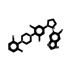 Fc1cc2[nH]cnc2cc1[C@H]1CCCN1c1cc(F)c(N2CCN(c3c(F)cccc3F)CC2)c(F)c1